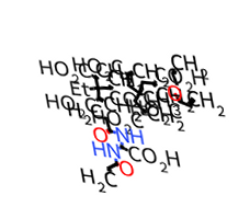 C=C(C(=O)O)C(CC)(C(=C)C(=O)O)C(=C)C(=O)O.C=C(CC(C)(CC(=C)C(=O)O)CC(=C)C(=O)O)C(=O)O.C=CC(=O)NC(NC(=O)C=C)C(=O)O.C=CCOC(C=C)C(=O)O